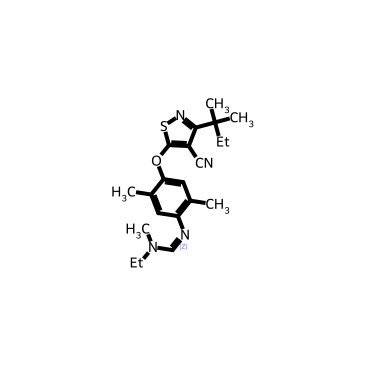 CCN(C)/C=N\c1cc(C)c(Oc2snc(C(C)(C)CC)c2C#N)cc1C